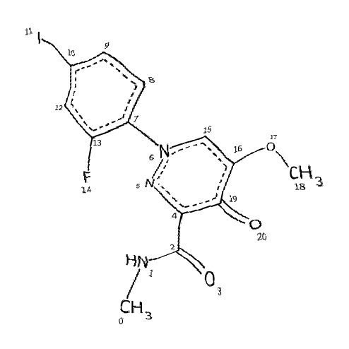 CNC(=O)c1nn(-c2ccc(I)cc2F)cc(OC)c1=O